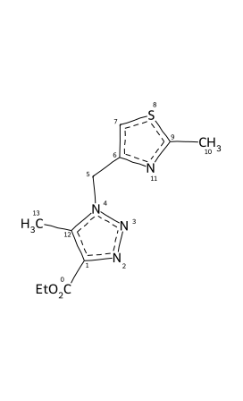 CCOC(=O)c1nnn(Cc2csc(C)n2)c1C